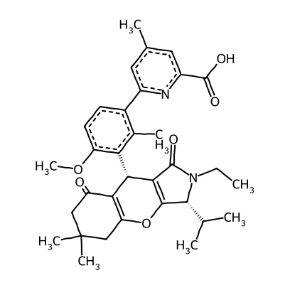 CCN1C(=O)C2=C(OC3=C(C(=O)CC(C)(C)C3)[C@@H]2c2c(OC)ccc(-c3cc(C)cc(C(=O)O)n3)c2C)[C@H]1C(C)C